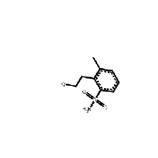 Cc1cccc(S(N)(=O)=O)c1CC[O]